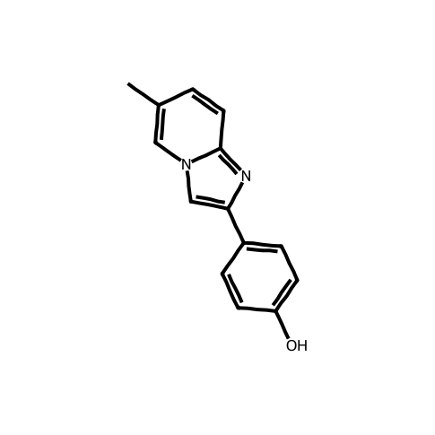 Cc1ccc2nc(-c3ccc(O)cc3)cn2c1